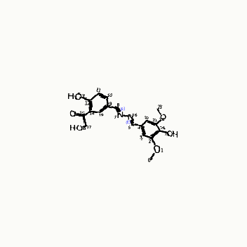 COc1cc(/C=N/N=C/c2ccc(O)c(C(=O)CO)c2)cc(OC)c1O